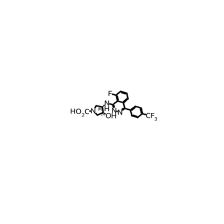 O=C(O)N1C[C@H](O)[C@H](Nc2nnc(-c3ccc(C(F)(F)F)cc3)c3cccc(F)c23)C1